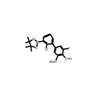 COc1cc(-c2cccc(B3OC(C)(C)C(C)(C)O3)c2Cl)cc(F)c1C=O